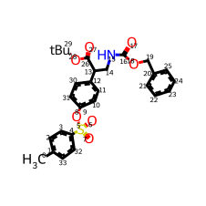 Cc1ccc(S(=O)(=O)Oc2ccc(C(CNC(=O)OCc3ccccc3)C(=O)OC(C)(C)C)cc2)cc1